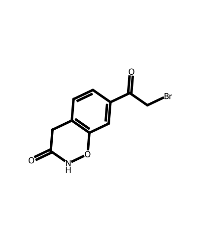 O=C1Cc2ccc(C(=O)CBr)cc2ON1